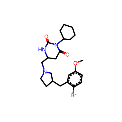 COc1ccc(Br)c(CC2CCN(CC3CC(=O)N(C4CCCCC4)C(=O)N3)C2)c1